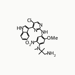 COc1cc(N(C)C(C)(C)CN)c([N+](=O)[O-])cc1Nc1ncc(Cl)c(-c2c[nH]c3ccccc23)n1